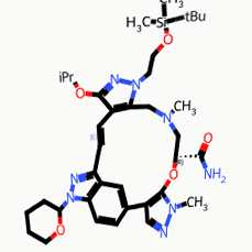 CC(C)Oc1nn(CCO[Si](C)(C)C(C)(C)C)c2c1/C=C/c1nn(C3CCCCO3)c3ccc(cc13)-c1cnn(C)c1O[C@@H](C(N)=O)CN(C)C2